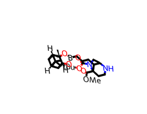 COC(=O)C12CCNC(CN1C(=O)OC(C)(C)C)C2CCCB1O[C@@H]2C[C@@H]3C[C@@H](C3(C)C)[C@]2(C)O1